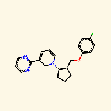 Clc1ccc(OC[C@H]2CCC[C@@H]2N2C=CC=C(c3ncccn3)C2)cc1